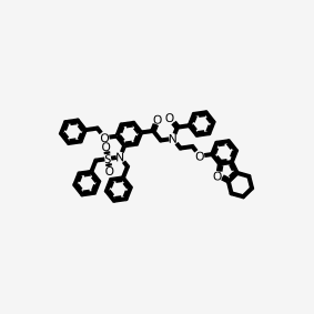 O=C(CN(CCOc1cccc2c3c(oc12)CCCC3)C(=O)c1ccccc1)c1ccc(OCc2ccccc2)c(N(Cc2ccccc2)S(=O)(=O)Cc2ccccc2)c1